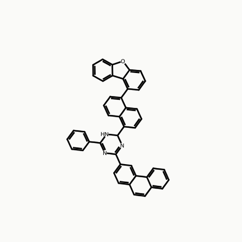 c1ccc(C2=NC(c3ccc4ccc5ccccc5c4c3)=NC(c3cccc4c(-c5cccc6oc7ccccc7c56)cccc34)N2)cc1